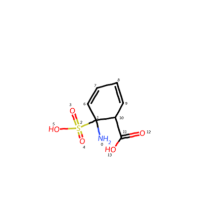 NC1(S(=O)(=O)O)C=CC=CC1C(=O)O